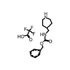 O=C(NCC1CCNCC1)OCc1ccccc1.O=C(O)C(F)(F)F